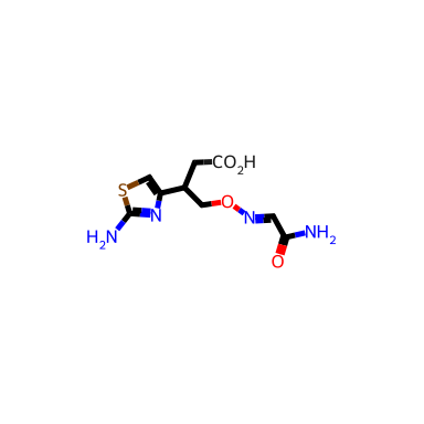 NC(=O)C=NOCC(CC(=O)O)c1csc(N)n1